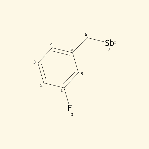 Fc1cccc([CH2][Sb])c1